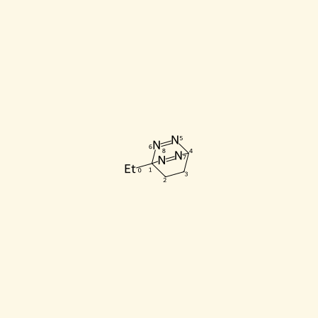 CCC12CCC(N=N1)N=N2